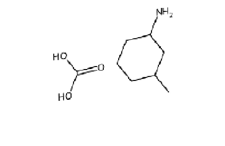 CC1CCCC(N)C1.O=C(O)O